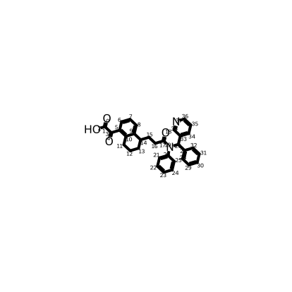 O=C(O)C(=O)c1cccc2c1CCCC2CCC(=O)N(c1ccccc1)C(c1ccccc1)c1cccnc1